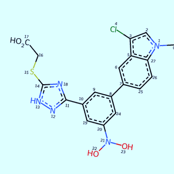 Cn1cc(Cl)c2cc(-c3cc(-c4n[nH]c(SCC(=O)O)n4)cc(N(O)O)c3)ccc21